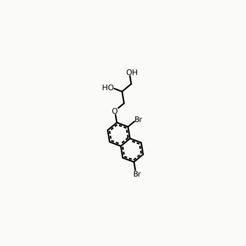 OCC(O)COc1ccc2cc(Br)ccc2c1Br